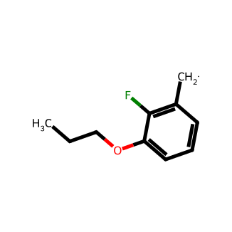 [CH2]c1cccc(OCCC)c1F